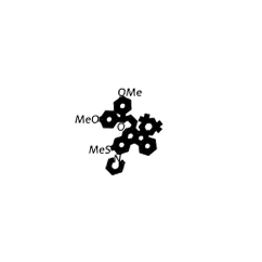 COc1ccc(C2(c3ccc(OC)cc3)C=Cc3c4c(c5cc(N6CCCCC6)c(SC)cc5c3O2)-c2ccccc2C42CC(C)(C)CC(C)(C)C2)cc1